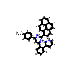 N#Cc1ccc(-c2cc(-c3ccccc3-c3cccnc3)nc(-c3ccc4ccc5cccc6ccc3c4c56)n2)cc1